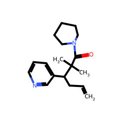 C=CCC(c1cccnc1)C(C)(C)C(=O)N1CCCCC1